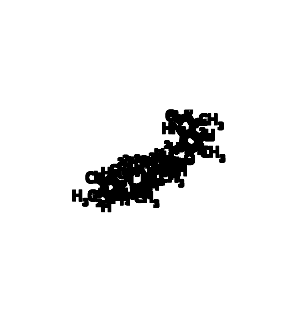 [2H]c1c([2H])c(N2C([2H])(C)C([2H])([2H])N(C([2H])([2H])C([2H])(C)C([2H])([2H])C([2H])(C)Oc3c([2H])c4c(c([2H])c3C)C(C)CC(=O)N4)C([2H])([2H])C2([2H])C)c(Cl)c(Cl)c1C